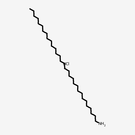 CCCCCCCCCCCCCCCCCCCCCCCCCCCCCCCN.Cl